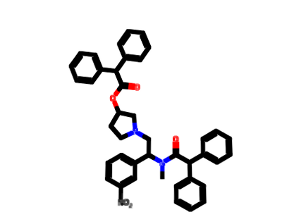 CN(C(=O)C(c1ccccc1)c1ccccc1)C(CN1CCC(OC(=O)C(c2ccccc2)c2ccccc2)C1)c1cccc([N+](=O)[O-])c1